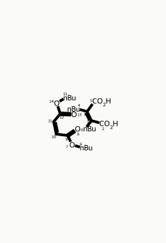 CCCC/C(C(=O)O)=C(\CCCC)C(=O)O.CCCCOC(=O)/C=C\C(=O)OCCCC